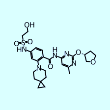 Cc1cc(NC(=O)c2ccc(NS(=O)(=O)CCO)cc2N2CCC3(CC2)CC3)nc(O[C@@H]2CCOC2)n1